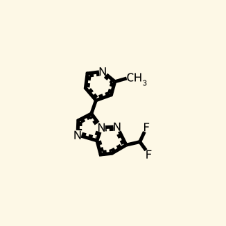 Cc1cc(-c2cnc3ccc(C(F)F)nn23)ccn1